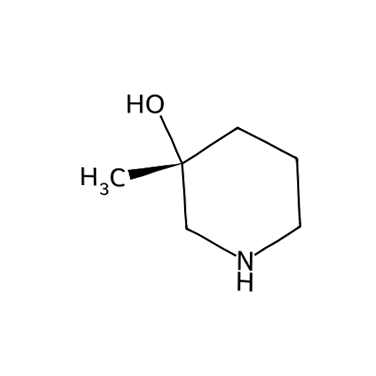 C[C@@]1(O)CCCNC1